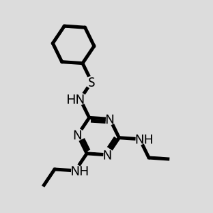 CCNc1nc(NCC)nc(NSC2CCCCC2)n1